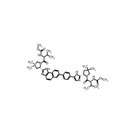 COC(=O)N[C@H](C(=O)N1CC(C)(C)C[C@H]1c1ncc(-c2ccc(-c3ccc4c(ccc5nc([C@@H]6C[Si](C)(C)CN6C(=O)[C@@H](NC(=O)OC)C(C)C)[nH]c54)c3)cc2)[nH]1)C(C)C